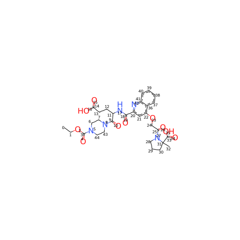 CCOC(=O)N1CCN(C(=O)C(CCC(=O)O)NC(=O)c2cc(OCC(=O)N3CCCC3(C)C(=O)O)c3ccccc3n2)CC1